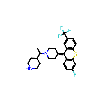 CC(C1CCNCC1)N1CCC(=C2c3ccc(F)cc3Sc3ccc(C(F)(F)F)cc32)CC1